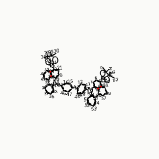 CC1(C)OB(c2ccc(N(c3ccc(-c4ccc(N(c5ccc(B6OC(C)(C)C(C)(C)O6)cc5)c5ccccc5-c5ccccc5)cc4)cc3)c3ccccc3-c3ccccc3)cc2)OC1(C)C